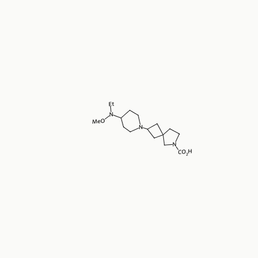 CCN(OC)C1CCN(C2CC3(CCN(C(=O)O)C3)C2)CC1